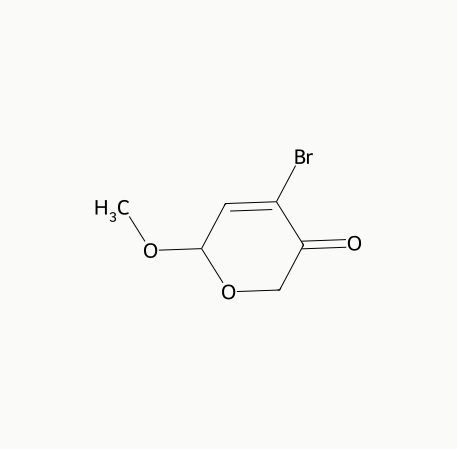 COC1C=C(Br)C(=O)CO1